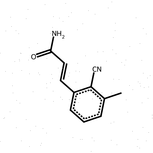 Cc1cccc(C=CC(N)=O)c1C#N